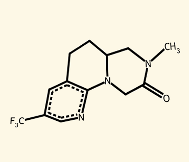 CN1CC2CCc3cc(C(F)(F)F)cnc3N2CC1=O